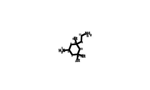 CCC1(CC)CC(N)CC(CC)(CCN)C1